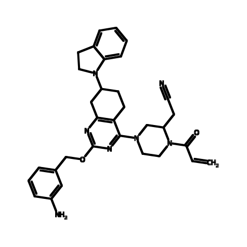 C=CC(=O)N1CCN(c2nc(OCc3cccc(N)c3)nc3c2CCC(N2CCc4ccccc42)C3)CC1CC#N